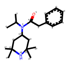 CC(C)N(C(=O)Cc1ccccc1)C1CC(C)(C)NC(C)(C)C1